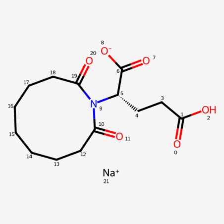 O=C(O)CC[C@@H](C(=O)[O-])N1C(=O)CCCCCCCC1=O.[Na+]